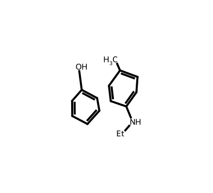 CCNc1ccc(C)cc1.Oc1ccccc1